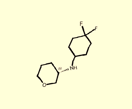 FC1(F)CCC(N[C@H]2CCCOC2)CC1